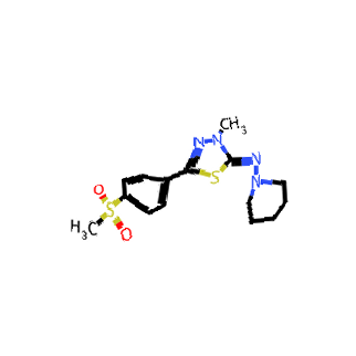 Cn1nc(-c2ccc(S(C)(=O)=O)cc2)sc1=NN1CCCCC1